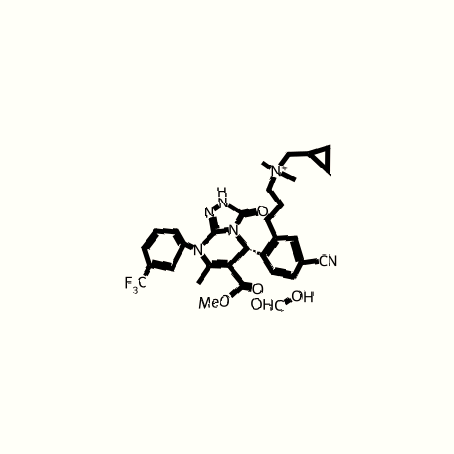 COC(=O)C1=C(C)N(c2cccc(C(F)(F)F)c2)c2n[nH]c(=O)n2[C@@H]1c1ccc(C#N)cc1CCC[N+](C)(C)CC1CC1.O=CO